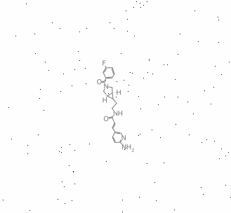 Nc1ccc(/C=C/C(=O)NCCC2[C@H]3CN(C(=O)c4cccc(F)c4)C[C@@H]23)cn1